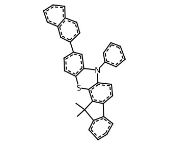 CC1(C)c2ccccc2-c2ccc3c(c21)Sc1ccc(-c2ccc4ccccc4c2)cc1N3c1ccccc1